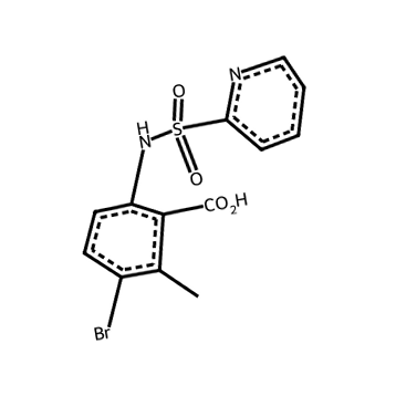 Cc1c(Br)ccc(NS(=O)(=O)c2ccccn2)c1C(=O)O